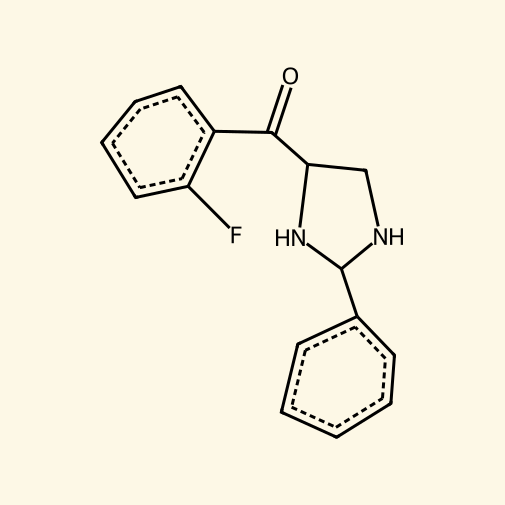 O=C(c1ccccc1F)C1CNC(c2ccccc2)N1